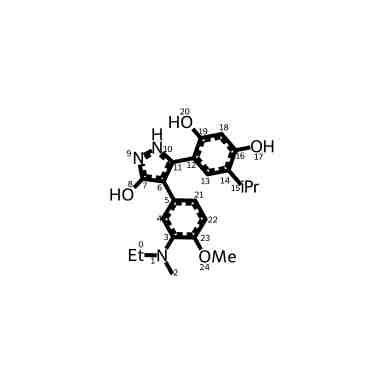 CCN(C)c1cc(-c2c(O)n[nH]c2-c2cc(C(C)C)c(O)cc2O)ccc1OC